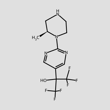 C[C@H]1CNCCN1c1ncc(C(O)(C(F)(F)F)C(F)(F)F)cn1